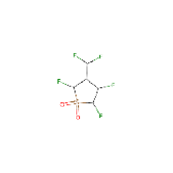 O=S1(=O)C(F)C(F)C(C(F)F)C1F